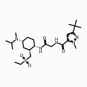 CCS(=O)(=O)C[C@H]1C[C@H](N(C)C(C)C)CC[C@@H]1NC(=O)CNC(=O)c1cc(C(C)(C)C)nn1C